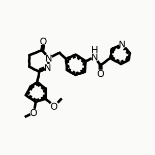 COc1ccc(C2=NN(Cc3cccc(NC(=O)c4cccnc4)c3)C(=O)CC2)cc1OC